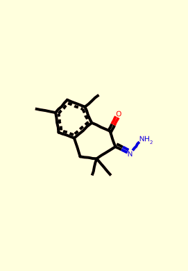 Cc1cc(C)c2c(c1)CC(C)(C)C(=NN)C2=O